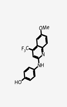 COc1ccc2nc(Nc3ccc(O)cc3)cc(C(F)(F)F)c2c1